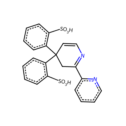 O=S(=O)(O)c1ccccc1C1(c2ccccc2S(=O)(=O)O)C=CN=C(c2ccccn2)C1